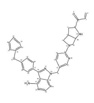 C=CC(=O)C1CC2CN(c3ccc(Cn4nc(-c5ccc(Oc6ccccc6)cc5)c5c(N)ncnc54)cn3)CC2N1